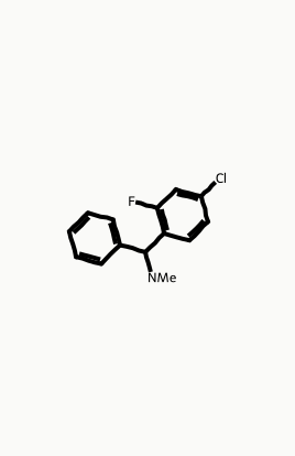 CNC(c1ccccc1)c1ccc(Cl)cc1F